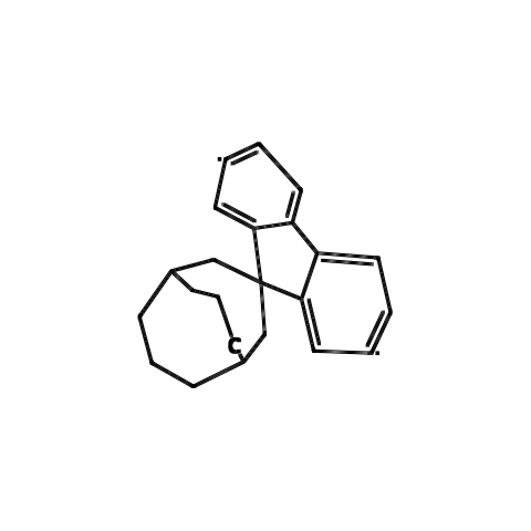 [c]1ccc2c(c1)C1(CC3CCCC(CCC3)C1)c1c[c]ccc1-2